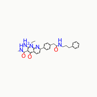 CCn1c(N)c(C(=O)NC)c(=O)c2ccc(-c3ccc(CC(=O)NCCCc4ccccc4)cc3)nc21